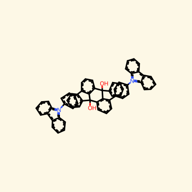 OC1(c2ccccc2)c2cccc(-c3ccc(-n4c5ccccc5c5ccccc54)cc3)c2C(O)(c2ccccc2)c2cccc(-c3ccc(-n4c5ccccc5c5ccccc54)cc3)c21